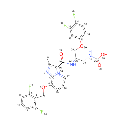 Cc1nc2c(OCc3c(F)cccc3F)cccn2c1C(=O)NC(CNC(=O)O)COc1ccc(F)c(F)c1